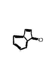 O=C1C=Cc2cc[c]cc21